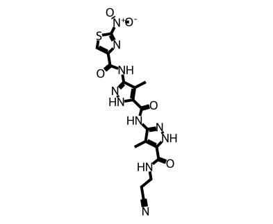 Cc1c(NC(=O)c2csc([N+](=O)[O-])n2)n[nH]c1C(=O)Nc1n[nH]c(C(=O)NCCC#N)c1C